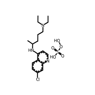 CCN(CC)CCCC(C)Nc1ccnc2cc(Cl)ccc12.O=S(=O)(O)OO